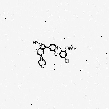 COc1cc(Cl)ccc1Cn1ccc(-c2cn(S)c3ncc(N4CCOCC4)cc23)cc1=O